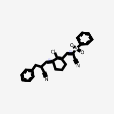 N#C/C(=C\C1=C(Cl)C(=C/C(C#N)Cc2ccccc2)/CCC1)S(=O)(=O)c1ccccc1